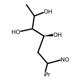 CC(C)C(C[C@H](O)C(O)C(C)O)N=O